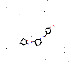 Cc1ccc2oc(-c3cccc(NC(=O)c4ccc(OC(C)C)cc4)c3)nc2c1